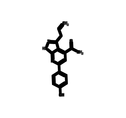 C=CCc1n[nH]c2nc(-c3ccc(O)cc3)cc(C(N)=O)c12